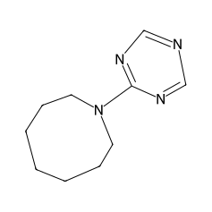 c1ncnc(N2CCCCCCC2)n1